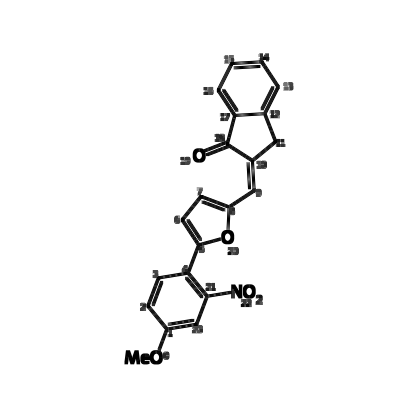 COc1ccc(-c2ccc(C=C3Cc4ccccc4C3=O)o2)c([N+](=O)[O-])c1